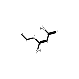 C=C(O)/C=C(/O)OCC